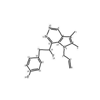 C=CCn1c(C)c(C)c2cnnc(C(F)Cc3ccc(F)cc3)c21